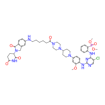 COc1cc(N2CCC(N3CCN(C(=O)CCCCCNc4ccc5c(c4)CN(C4CCC(=O)NC4=O)C5=O)CC3)CC2)ccc1Nc1ncc(Cl)c(Nc2ccccc2P(=O)(OC)OC)n1